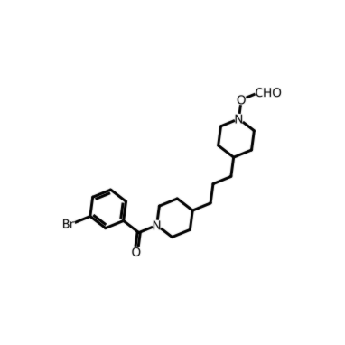 O=CON1CCC(CCCC2CCN(C(=O)c3cccc(Br)c3)CC2)CC1